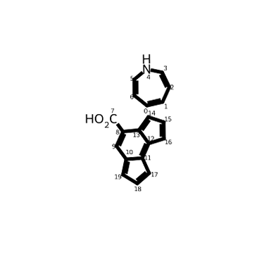 C1=CC=CNC=C1.O=C(O)c1cc2c(c3c1=CC=C3)C=CC=2